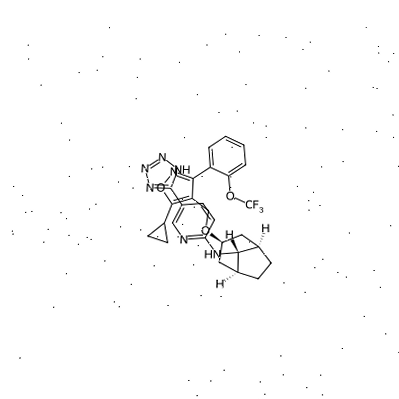 FC(F)(F)Oc1ccccc1-c1noc(C2CC2)c1CO[C@H]1C[C@H]2CC[C@@H](C1)[C@@H]2Nc1ccc(-c2nnn[nH]2)cn1